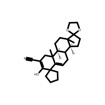 CC12CC(C#N)=C(O)C3(CCCC3)C1=CCC1[C@@H]2CCC2(C)[C@H]1CCC21OCCO1